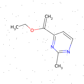 C=C(OCC)c1ccnc(C)n1